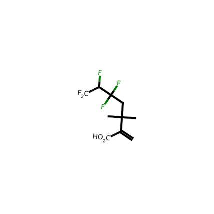 C=C(C(=O)O)C(C)(C)CC(F)(F)C(F)C(F)(F)F